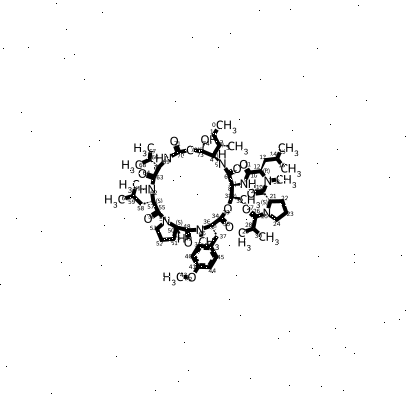 CC[C@H](C)[C@H]1NC(=O)[C@@H](NC(=O)[C@@H](CC(C)C)N(C)C(=O)[C@@H]2CCCN2C(=O)C(C)C)[C@@H](C)OC(=O)[C@H](Cc2ccc(OC)cc2)N(C)C(=O)[C@@H]2CCCN2C(=O)[C@H](CC(C)C)NC(=O)[C@H](C(C)C)NC(=O)C[C@@H]1O